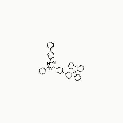 c1ccc(-c2ccc(-c3nc(-c4ccccc4)nc(-c4ccc(-c5cccc(C6(c7ccccc7)c7ccccc7-c7ccccc76)c5)cc4)n3)cc2)cc1